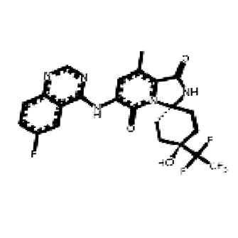 Cc1cc(Nc2ncnc3ccc(F)cc23)c(=O)n2c1C(=O)N[C@]21CC[C@@](O)(C(F)(F)C(F)(F)F)CC1